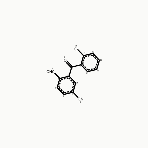 N#Cc1ccc([C]=O)c(C(=O)c2ccccc2Cl)c1